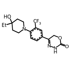 CCC1(O)CCN(c2ccc(C3=NNC(=O)OC3)cc2C(F)(F)F)CC1